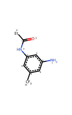 CCC(=O)Nc1cc(N)cc(C(F)(F)F)c1